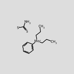 CC[CH2][Mo+]([CH2]CC)[c]1ccccc1.NC(=S)[S-]